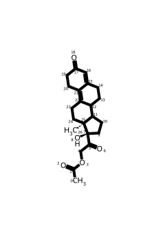 CC(=O)OCC(=O)[C@@]1(O)CCC2C3CCC4=CC(=O)CCC4=C3CC[C@@]21C